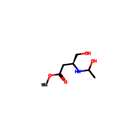 CC(O)N[C@H](CO)CC(=O)OC(C)(C)C